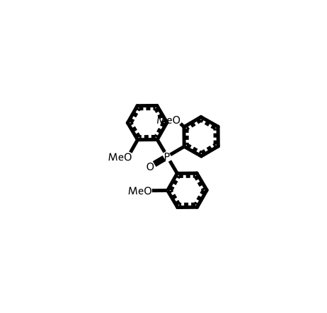 COc1ccccc1P(=O)(c1ccccc1OC)c1ccccc1OC